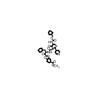 COC(=O)c1ccc2oc(C(=O)C(Cc3ccccc3)NC(=O)Cn3c(-c4ccncc4)ncc(NC(=O)OCc4ccccc4)c3=O)nc2c1